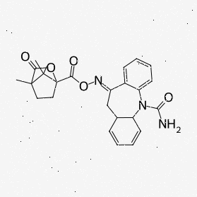 CC12CCC(C(=O)ON=C3CC4C=CC=CC4N(C(N)=O)c4ccccc43)(OC1=O)C2(C)C